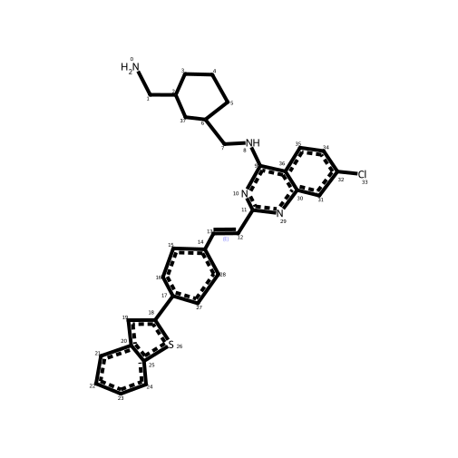 NCC1CCCC(CNc2nc(/C=C/c3ccc(-c4cc5ccccc5s4)cc3)nc3cc(Cl)ccc23)C1